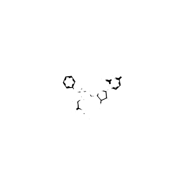 CC(C)OC(=O)[C@H](C)NP(=O)(OC[C@H]1O[C@@H](n2ccc(=S)[nH]c2=O)[C@@H](O)C1O)Oc1ccccc1